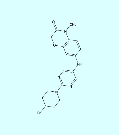 CC(C)C1CCN(c2ncc(Nc3ccc4c(c3)OCC(=O)N4C)cn2)CC1